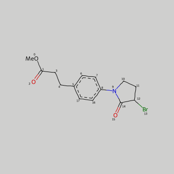 COC(=O)CCc1ccc(N2CCC(Br)C2=O)cc1